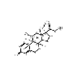 C[C@]12C=CC(=O)C=C1CC[C@@H]1[C@@H]2[C@@H](O)C[C@@]2(C)[C@H]1CC[C@]2(ON)C(=O)CO